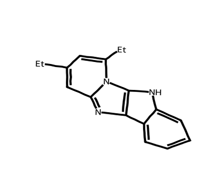 CCc1cc(CC)n2c(c1)nc1c3ccccc3[nH]c12